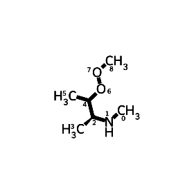 CN[C@@H](C)C(C)OOC